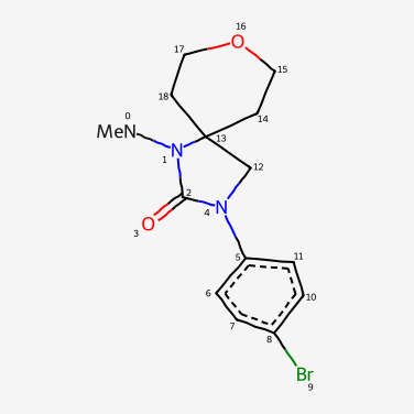 CNN1C(=O)N(c2ccc(Br)cc2)CC12CCOCC2